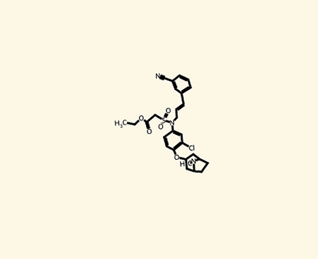 CCOC(=O)CS(=O)(=O)N(C/C=C/c1cccc(C#N)c1)c1ccc(OC2CC3CCC(C2)N3C)c(Cl)c1